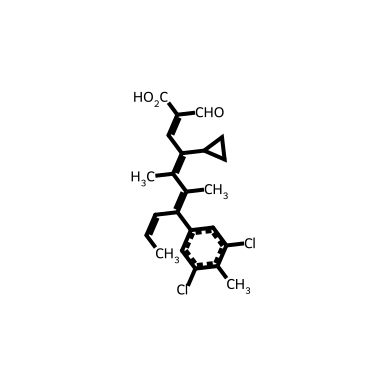 C\C=C/C(=C(C)\C(C)=C(\C=C(/C=O)C(=O)O)C1CC1)c1cc(Cl)c(C)c(Cl)c1